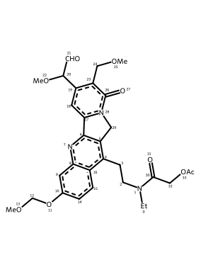 CCN(CCc1c2c(nc3cc(OCOC)ccc13)-c1cc(C(C=O)OC)c(COC)c(=O)n1C2)C(=O)COC(C)=O